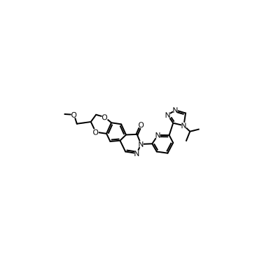 COCC1COc2cc3c(=O)n(-c4cccc(-c5nncn5C(C)C)n4)ncc3cc2O1